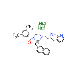 Cl.Cl.Cl.NC(CCN1CCN(C(=O)c2cc(C(F)(F)F)cc(C(F)(F)F)c2)[C@H](Cc2ccc3ccccc3c2)C1)Cc1cccnc1